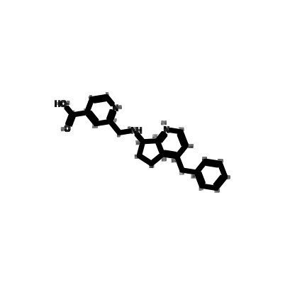 O=C(O)c1ccnc(CNC2CCc3c(Cc4ccccc4)ccnc32)c1